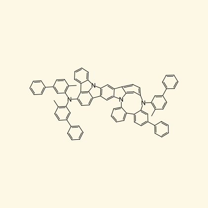 Cc1ccc(-c2ccccc2)cc1N(c1cc(-c2ccccc2)ccc1C)c1ccc2c3cc4c(cc3n3c5ccccc5c1c23)c1ccc2cc1n4c1ccccc1c1ccc(-c3ccccc3)cc1n2-c1cc(-c2ccccc2)ccc1C